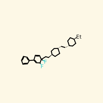 CC[C@H]1CC[C@H](CC[C@H]2CC[C@H](CCC3(F)C=CC(c4ccccc4)=CC3F)CC2)CC1